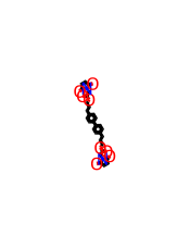 O=C(CN1C(=O)C=CC1=O)OCCCc1ccc(-c2ccc(CCCOC(=O)CN3C(=O)C=CC3=O)cc2)cc1